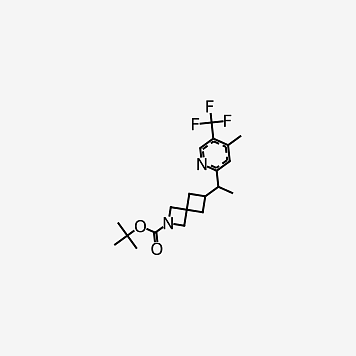 Cc1cc(C(C)C2CC3(C2)CN(C(=O)OC(C)(C)C)C3)ncc1C(F)(F)F